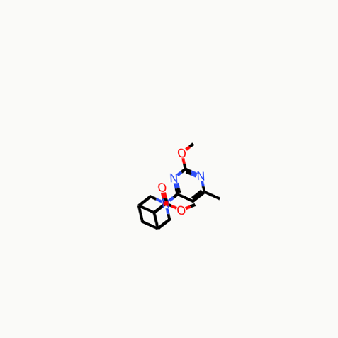 COC(=O)C1C2CC1CN(c1cc(C)nc(OC)n1)C2